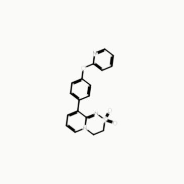 O=S1(=O)CCN2C=CC=C(c3ccc(Oc4ccccn4)cc3)C2=N1